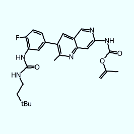 C=C(C)OC(=O)Nc1cc2nc(C)c(-c3ccc(F)c(NC(=O)NCCC(C)(C)C)c3)cc2cn1